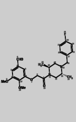 COc1cc(C=O)cc(OCC(=O)N2C[C@@H](C)N(Cc3ccc(F)cc3)C[C@@H]2C)c1OC